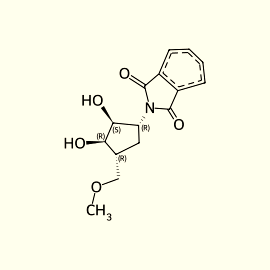 COC[C@H]1C[C@@H](N2C(=O)c3ccccc3C2=O)[C@H](O)[C@@H]1O